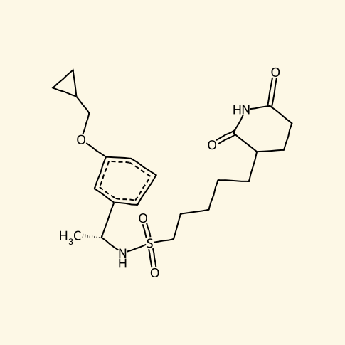 C[C@@H](NS(=O)(=O)CCCCCC1CCC(=O)NC1=O)c1cccc(OCC2CC2)c1